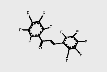 O=C(C=Cc1c(F)c(F)c(F)c(F)c1F)c1c(F)c(F)c(F)c(F)c1F